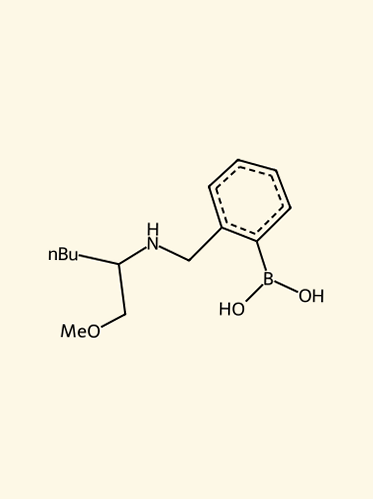 CCCCC(COC)NCc1ccccc1B(O)O